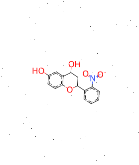 O=[N+]([O-])c1ccccc1C1CC(O)c2cc(O)ccc2O1